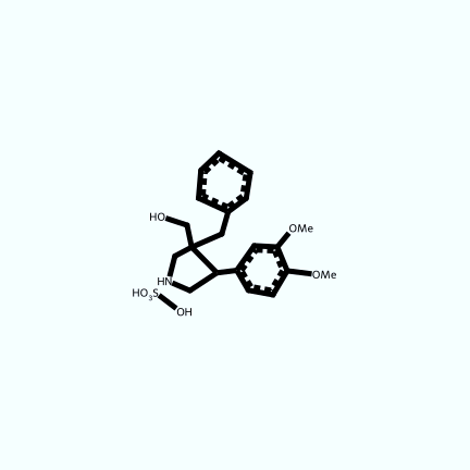 COc1ccc(C2CNCC2(CO)Cc2ccccc2)cc1OC.O=S(=O)(O)O